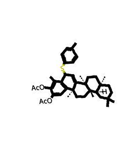 CC(=O)Oc1cc2c(c(C)c1OC(C)=O)C(Sc1ccc(C)cc1)C=C1[C@@]2(C)CC[C@@]2(C)[C@@H]3CC(C)(C)CC[C@]3(C)CC[C@]12C